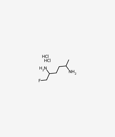 CC(N)CCC(N)CF.Cl.Cl